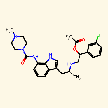 C[C@H](Cc1c[nH]c2c(NC(=O)N3CCN(C)CC3)cccc12)NC[C@@H](OC(=O)C(F)(F)F)c1cccc(Cl)c1